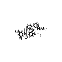 CNc1cc(-c2cccnc2Oc2cc(C(=O)Nc3cc(Cl)cc(Cl)c3)ccc2C)ccn1